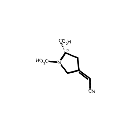 N#CC=C1C[C@@H](C(=O)O)N(C(=O)O)C1